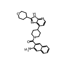 Nc1cc2ccccc2cc1C(=O)N1CCC(c2ccnc3[nH]c(C4CCOCC4)nc23)CC1